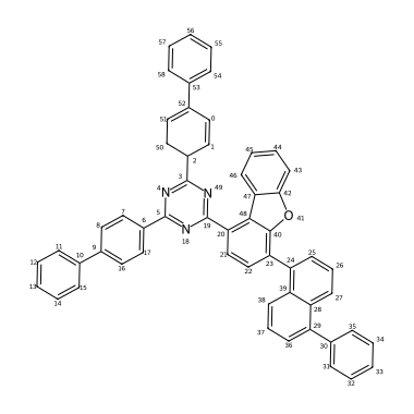 C1=CC(c2nc(-c3ccc(-c4ccccc4)cc3)nc(-c3ccc(-c4cccc5c(-c6ccccc6)cccc45)c4oc5ccccc5c34)n2)CC=C1c1ccccc1